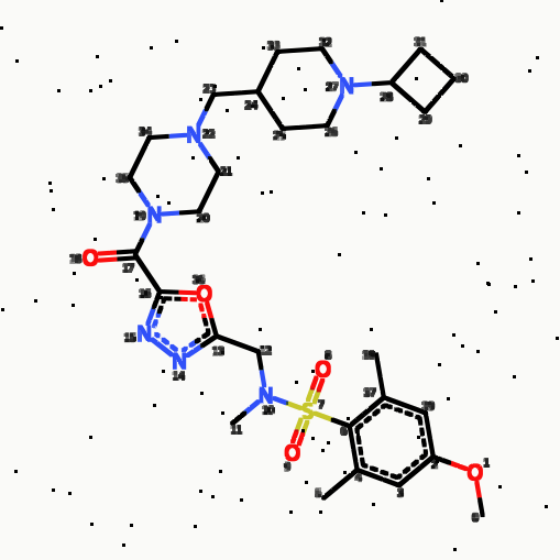 COc1cc(C)c(S(=O)(=O)N(C)Cc2nnc(C(=O)N3CCN(CC4CCN(C5CCC5)CC4)CC3)o2)c(C)c1